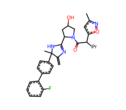 C=C1N=C(C2CC(O)CN2C(=O)C(c2cc(C)no2)C(C)C)NC1(C)c1ccc(-c2ccccc2F)cc1